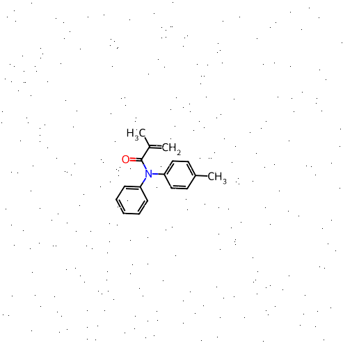 C=C(C)C(=O)N(c1ccccc1)c1ccc(C)cc1